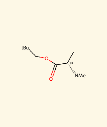 CN[C@@H](C)C(=O)OCC(C)(C)C